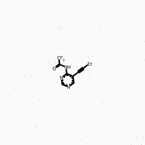 CCC#Cc1cncnc1NC(=O)C(F)(F)F